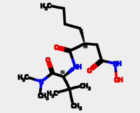 CCCC[C@H](CC(=O)NO)C(=O)N[C@H](C(=O)N(C)C)C(C)(C)C